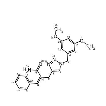 COc1cc(Cn2cc(CC(=Cc3ccccc3)C(N)=O)nn2)cc(OC)c1